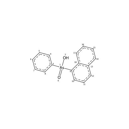 O=[As](O)(c1ccccc1)c1cccc2ccccc12